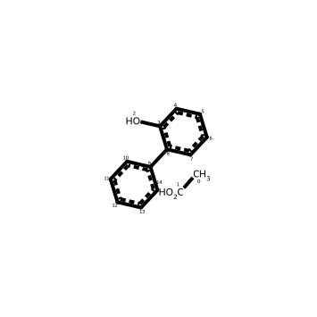 CC(=O)O.Oc1ccccc1-c1ccccc1